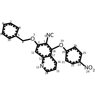 [C-]#[N+]c1c(OCc2ccccc2)cc2ncccc2c1Oc1ccc([N+](=O)[O-])cc1